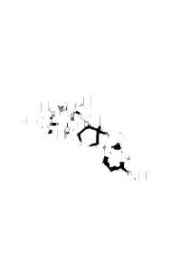 C[Si](C)(C)OC[C@H]1O[C@@H](n2ccc(N)nc2=O)C(F)(F)[C@@H]1O[Si](C)(C)C